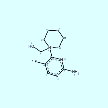 Nc1ncc(F)c([N+]2(CO)CCCCC2)n1